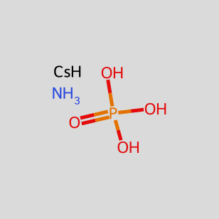 N.O=P(O)(O)O.[CsH]